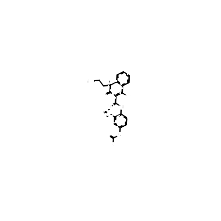 CC(C)CC[C@@]1(C)C(=O)C(C2=NS(=O)(=O)c3cc(NC(N)=O)ccc3N2)=C(O)c2ccccc21